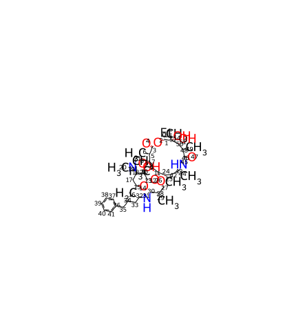 CC[C@H]1OC(=O)[C@H](C)C(=O)[C@H](C)C(O[C@@H]2O[C@H](C)C[C@H](N(C)C)[C@H]2O)[C@](C)(OCC(C)CNCCCCc2ccccc2)C[C@@H](C)NC(=O)[C@H](C)[C@@H](O)[C@]1(C)O